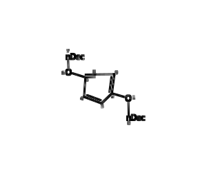 CCCCCCCCCCOc1ccc(OCCCCCCCCCC)cc1